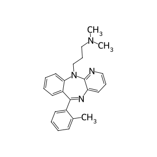 Cc1ccccc1C1=Nc2cccnc2N(CCCN(C)C)c2ccccc21